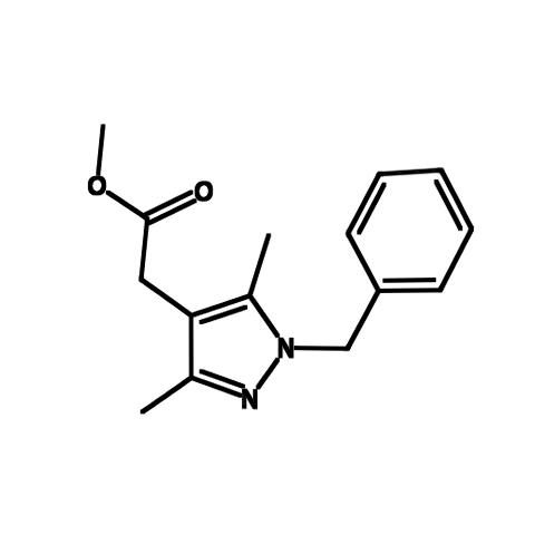 COC(=O)Cc1c(C)nn(Cc2ccccc2)c1C